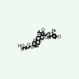 CC(C)C1=C2[C@H]3CC[C@@H]4[C@@]5(C)CC[C@H](OC(=O)CC(C)(C)C(=O)O)C(C)(C)[C@@H]5CC[C@@]4(C)[C@]3(C)CC[C@@]2([C@@H](O)CN(C)C(=O)c2ccc(Cl)cc2CN(C)C)CC1=O